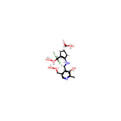 Cc1ncc(COO)c(CNC2=C(C(F)(F)OO)C[C@H](C(=O)O)C2)c1O